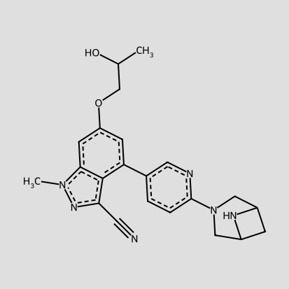 CC(O)COc1cc(-c2ccc(N3CC4CC(C3)N4)nc2)c2c(C#N)nn(C)c2c1